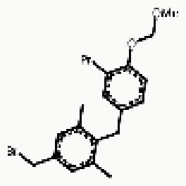 COCOc1ccc(Cc2c(C)cc(CBr)cc2C)cc1C(C)C